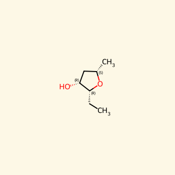 CC[C@H]1O[C@@H](C)C[C@H]1O